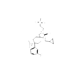 CN(C)[C@]1(c2cccc(F)c2)CC[C@]2(CC1)CN(CCS(C)(=O)=O)C(=O)N2CC1CC1